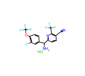 Cl.N#Cc1ccc(C(N)c2ccc(OC(F)(F)F)c(F)c2)nc1C(F)(F)F